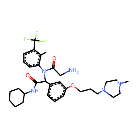 Cc1c(N(C(=O)CN)C(C(=O)NC2CCCCC2)c2cccc(OCCCN3CCN(C)CC3)c2)cccc1C(F)(F)F